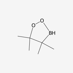 CC1(C)BOOC1(C)C